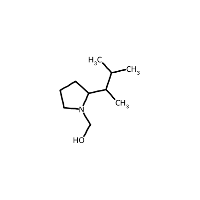 CC(C)C(C)C1CCCN1CO